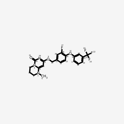 CN1CCCn2c1cc(OCc1ccc(Oc3cccc(C(F)(F)F)c3)c(F)c1)nc2=O